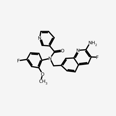 COc1cc(F)ccc1N(Cc1ccc2cc(F)c(N)nc2c1)C(=O)c1cccnc1